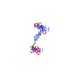 COc1cc(N2CCC(N3CCN(CCCCC#Cc4cccc5c4CN(C4CCC(=O)NC4=O)C5=O)CC3)CC2)ccc1Nc1ncc(Cl)c(Nc2ccccc2P(C)(C)=O)n1